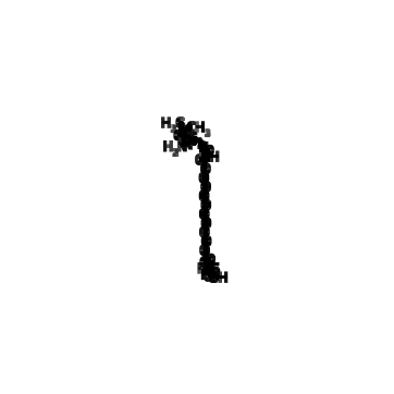 CCCN(OCC)C(=O)C1=Cc2sc(CC3CN(C(=O)CNC(=O)CCOCCOCCOCCOCCOCCOCCOCCOCCOCCOCCC(=O)Oc4c(F)c(F)c(S(=O)(=O)O)c(F)c4F)C3)cc2N=C(N)C1